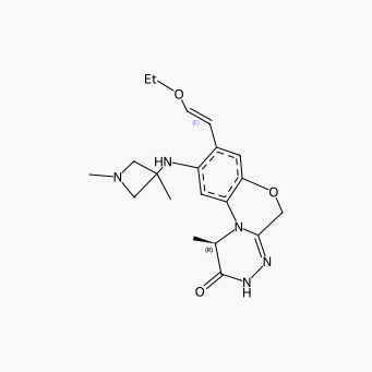 CCO/C=C/c1cc2c(cc1NC1(C)CN(C)C1)N1C(=NNC(=O)[C@H]1C)CO2